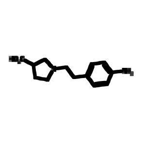 Nc1ccc(CCN2CCC(C(=O)O)C2)cc1